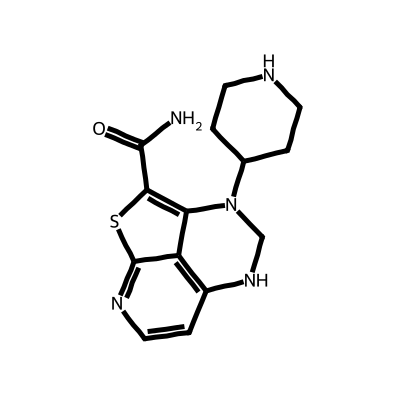 NC(=O)c1sc2nccc3c2c1N(C1CCNCC1)CN3